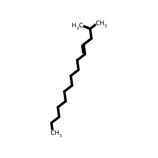 CCCCCCCCCCC=CCC(C)C